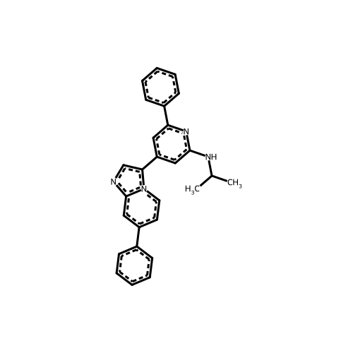 CC(C)Nc1cc(-c2cnc3cc(-c4ccccc4)ccn23)cc(-c2ccccc2)n1